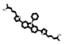 C/C(C#N)=C/C=C/c1ccc(-c2ccc3c4ccc(-c5ccc(/C=C/C=C(/C)C#N)o5)cc4n(-c4ccccc4)c3c2)o1